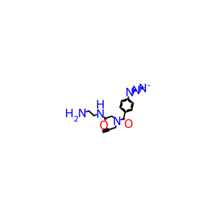 C#CCN(CC(=O)NCCN)C(=O)c1ccc(N=[N+]=[N-])cc1